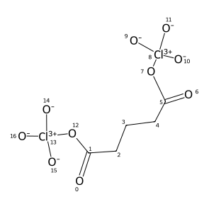 O=C(CCCC(=O)O[Cl+3]([O-])([O-])[O-])O[Cl+3]([O-])([O-])[O-]